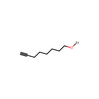 C#CCCCCCCOC[CH2]